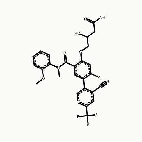 COc1ccccc1N(C)C(=O)c1cc(-c2cnc(C(F)(F)F)cc2C#N)c(Cl)cc1OCC(O)CC(=O)O